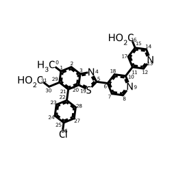 Cc1cc2nc(-c3ccnc(-c4cncc(C(=O)O)c4)c3)sc2c(-c2ccc(Cl)cc2)c1CC(=O)O